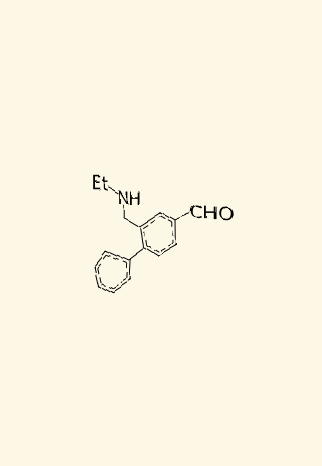 CCNCc1cc(C=O)ccc1-c1ccccc1